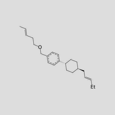 CC=CCCOCc1ccc([C@H]2CC[C@H](CC=CCC)CC2)cc1